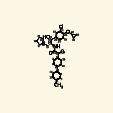 Cc1ccc(-c2ccc(C(=O)C(=O)N[C@H](CN3CCCC3)[C@H](O)c3ccc(OC4CC4)c(Cl)c3)cc2)cc1